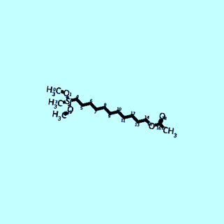 CO[Si](C)(CCCCCCCCCCCOC(C)=O)OC